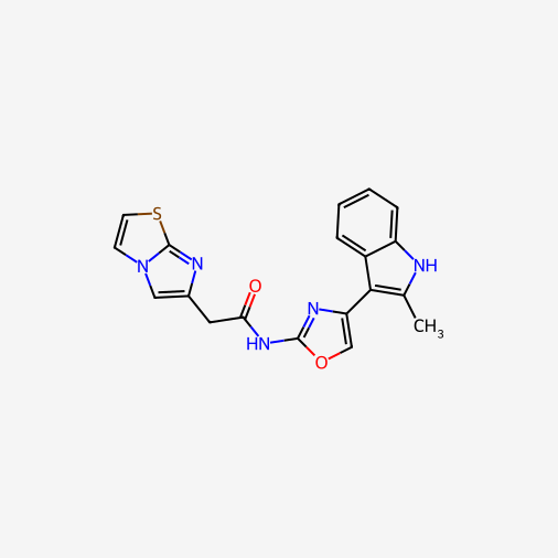 Cc1[nH]c2ccccc2c1-c1coc(NC(=O)Cc2cn3ccsc3n2)n1